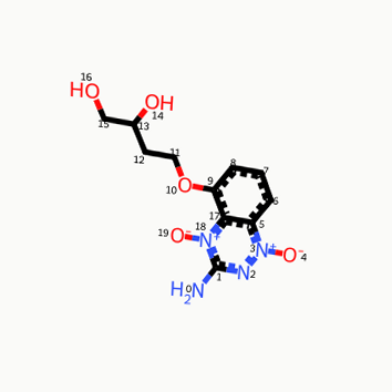 Nc1n[n+]([O-])c2cccc(OCCC(O)CO)c2[n+]1[O-]